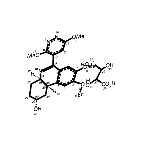 CCOc1cc2c(cc1OC)C(c1cc(OC)nnc1OC)=N[C@@H]1CC[C@@H](O)C[C@H]21.O=C(O)C(O)C(O)C(=O)O